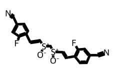 N#Cc1ccc(/C=C/[S+]([O-])C[S+]([O-])/C=C/c2ccc(C#N)cc2F)c(F)c1